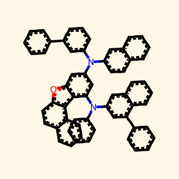 c1ccc(-c2cccc(N(c3ccc4ccccc4c3)c3cc(N(c4ccccc4)c4cc(-c5ccccc5)c5ccccc5c4)c4c(c3)oc3ccc5ccccc5c34)c2)cc1